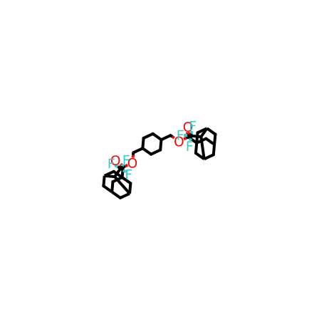 O=C(OCC1CCC(COC(=O)C23CC4CC(C2)C(C(F)(F)F)C(C4)C3)CC1)C12CC3CC(C1)C(C(F)(F)F)C(C3)C2